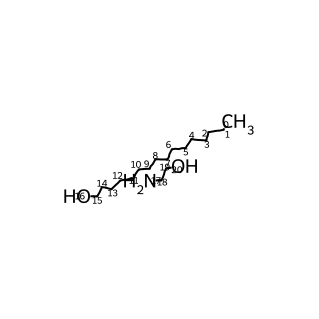 CCCCCCCCCCCCCCCCO.NCCO